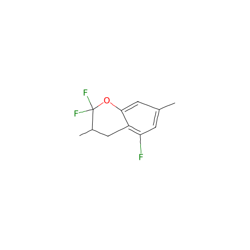 Cc1cc(F)c2c(c1)OC(F)(F)C(C)C2